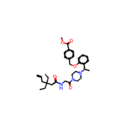 C=CCC(CC)(CC)CC(=O)NCC(=O)N1CCN(C(C)c2ccccc2OCc2ccc(C(=O)OC)cc2)CC1